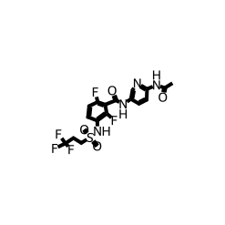 CC(=O)Nc1ccc(NC(=O)c2c(F)ccc(NS(=O)(=O)CCC(F)(F)F)c2F)cn1